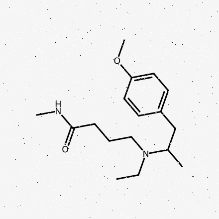 CCN(CCCC(=O)NC)C(C)Cc1ccc(OC)cc1